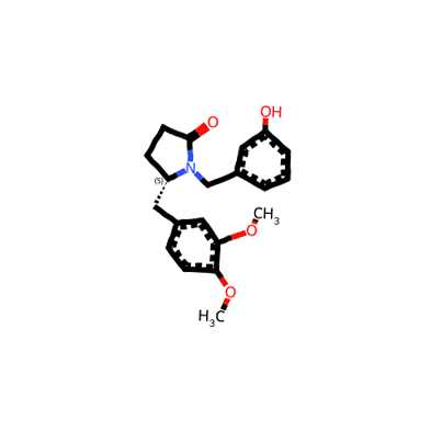 COc1ccc(C[C@@H]2CCC(=O)N2Cc2cccc(O)c2)cc1OC